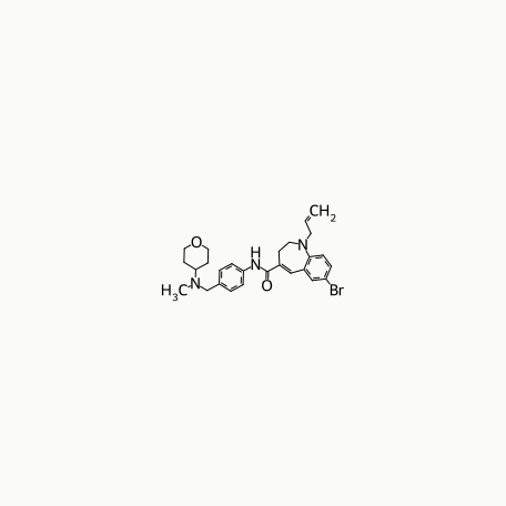 C=CCN1CCC(C(=O)Nc2ccc(CN(C)C3CCOCC3)cc2)=Cc2cc(Br)ccc21